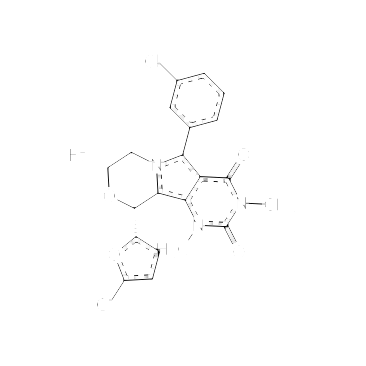 CC[C@@H]1Cn2c(-c3cccc(Cl)c3)c3c(=O)n(C)c(=O)n(C)c3c2[C@H](c2ccc(Cl)o2)O1